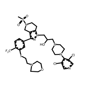 CS(=O)(=O)N1CCc2c(c(-c3ccc(C(F)(F)F)c(SCCN4CCOCC4)c3)nn2CC(O)CN2CCN(c3c(Cl)cncc3Cl)CC2)C1